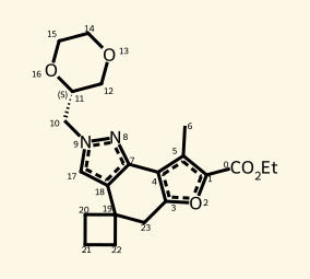 CCOC(=O)c1oc2c(c1C)-c1nn(C[C@H]3COCCO3)cc1C1(CCC1)C2